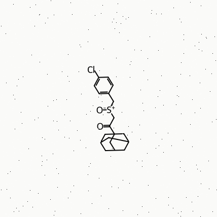 O=C(C[S+]([O-])Cc1ccc(Cl)cc1)C12CC3CC(CC(C3)C1)C2